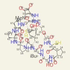 CC[C@H](C)[C@H](NC(=O)[C@H](CO)NC(=O)[C@@H]1CCCC1C(=O)[C@H](S)NC(=O)COCCOCCNc1c(NC)c(=O)c1=O)C(=O)N[C@@H](Cc1ccc(O)cc1)C(=O)N1CCC[C@H]1C(=O)N[C@@H](CC(C)C)C(=O)N[C@@H](CC(C)C)C(=O)N[C@@H](CS)C(N)=O